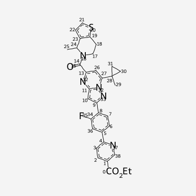 CCOC(=O)c1ccc(-c2ccc(-c3cc4nc(C(=O)N5CCc6sccc6C5C)cc(C5(C)CC5)n4n3)c(F)c2)nc1